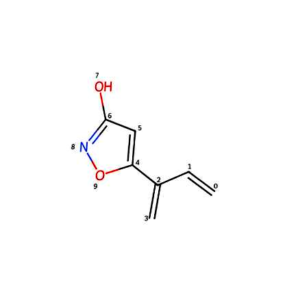 C=CC(=C)c1cc(O)no1